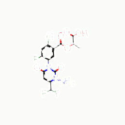 CC(OC(=O)c1cc(-n2c(=O)cc(C(F)F)n(N)c2=O)c(F)cc1Cl)C(=O)O